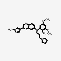 COc1cc(OC)c(C)c(N(CCCN2CCCC2)c2ccc3ncc(-c4cnn(C)c4)nc3c2)c1